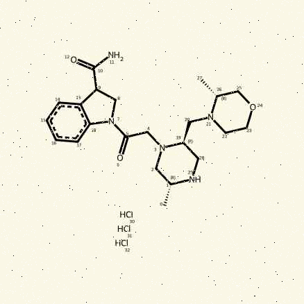 C[C@@H]1CN(CC(=O)N2CC(C(N)=O)c3ccccc32)[C@@H](CN2CCOC[C@H]2C)CN1.Cl.Cl.Cl